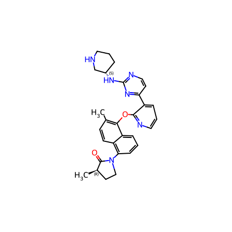 Cc1ccc2c(N3CC[C@@H](C)C3=O)cccc2c1Oc1ncccc1-c1ccnc(N[C@H]2CCCNC2)n1